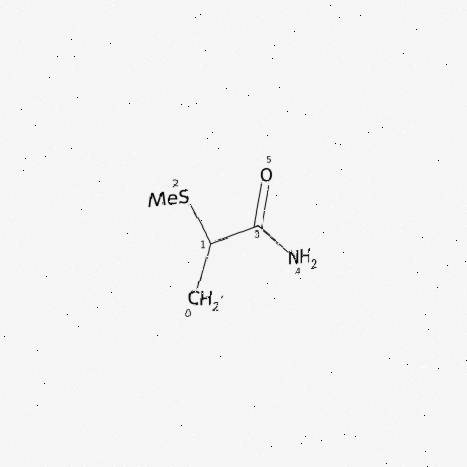 [CH2]C(SC)C(N)=O